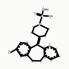 COP(=O)(O)N1CCC(=C2c3ccc(Cl)cc3CCc3cccnc32)CC1